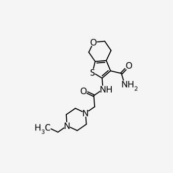 CCN1CCN(CC(=O)Nc2sc3c(c2C(N)=O)CCOC3)CC1